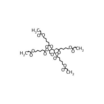 C=CC(=O)OCCCCC(=O)C[C@H]1C(OC(=O)CCCCOC(=O)C=C)OC[C@@H](OC(=O)CCCCOC(=O)C=C)C1OC(=O)CCCCOC(=O)C=C